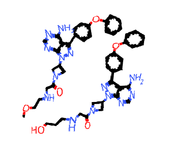 COCCNCC(=O)N1CC(n2nc(-c3ccc(Oc4ccccc4)cc3)c3c(N)ncnc32)C1.Nc1ncnc2c1c(-c1ccc(Oc3ccccc3)cc1)nn2C1CN(C(=O)CNCCCO)C1